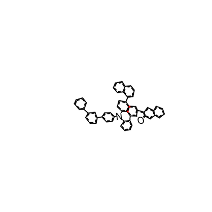 c1ccc(-c2cccc(-c3ccc(N(c4ccc(-c5cccc6ccccc56)cc4)c4ccccc4-c4cccc5c4oc4cc6ccccc6cc45)cc3)c2)cc1